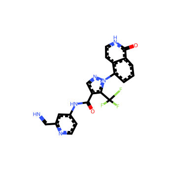 N=Cc1cc(NC(=O)c2cnn(-c3cccc4c(=O)[nH]ccc34)c2C(F)(F)F)ccn1